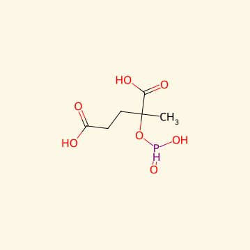 CC(CCC(=O)O)(O[PH](=O)O)C(=O)O